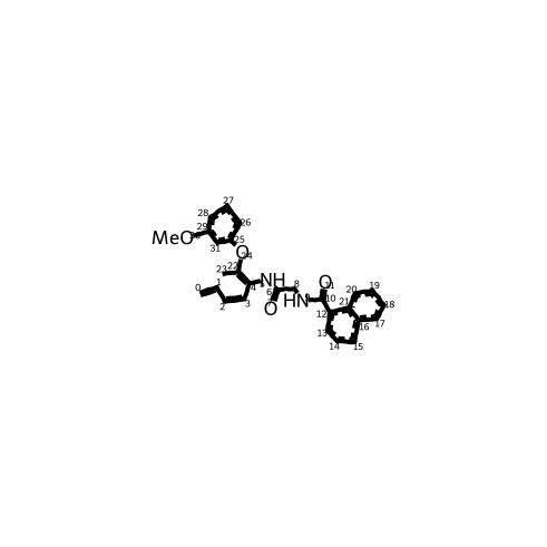 C=C/C=C\C(NC(=O)CNC(=O)c1cccc2ccccc12)=C(/C)Oc1cccc(OC)c1